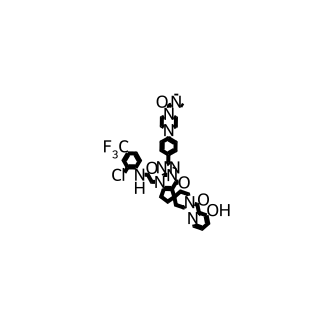 CN(C)C(=O)N1CCN(c2ccc(-c3nc4n(CC(=O)Nc5ccc(C(F)(F)F)cc5Cl)c5c(c(=O)n4n3)C3(CC5)CCN(C(=O)c4ncccc4O)CC3)cc2)CC1